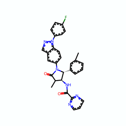 Cc1cccc([C@@H]2[C@@H](NC(=O)c3ncccn3)C(C)C(=O)N2c2ccc3c(cnn3-c3ccc(F)cc3)c2)c1